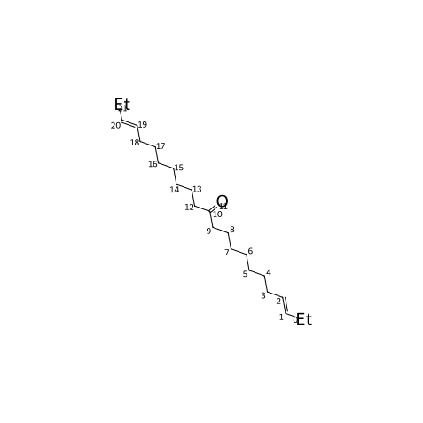 CC/C=C/CCCCCCCC(=O)CCCCCCC/C=C/CC